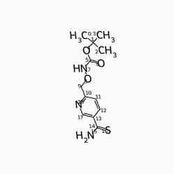 CC(C)(C)OC(=O)NOCc1ccc(C(N)=S)cn1